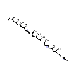 C/C=N/CCCC(O)CC(O)C/C=C/C(O)CC(O)CC(O)CC(O)C/C=C/C(O)CC(O)CC(O)CC(=O)C(C)C